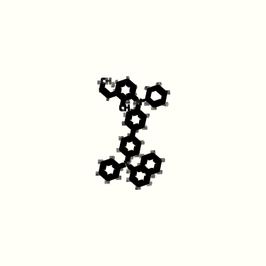 C/C=C\c1cccc(N(c2ccc(-c3ccc(N(c4ccccc4)c4cccc5ccccc45)cc3)cc2)[C@H]2C=CC=CC2)c1C